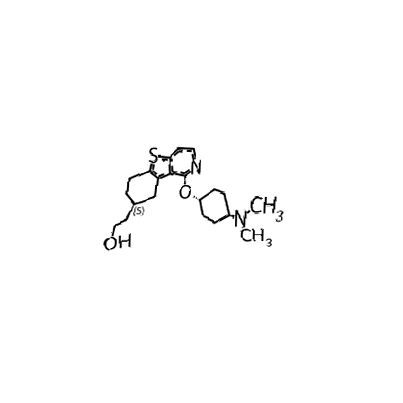 CN(C)[C@H]1CC[C@H](Oc2nccc3sc4c(c23)C[C@@H](CCO)CC4)CC1